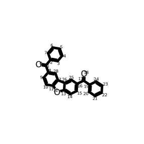 O=C(c1ccccc1)c1ccc2oc3ccc(C(=O)c4ccccc4)cc3c2c1